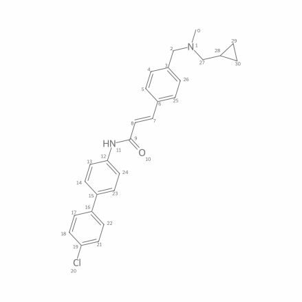 CN(Cc1ccc(C=CC(=O)Nc2ccc(-c3ccc(Cl)cc3)cc2)cc1)CC1CC1